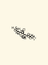 CNC(=O)c1cc(-c2cc(C3CN(C(=O)OC(C)(C)C)C[C@H]4CCC(=O)N34)cc(Cl)n2)ncn1